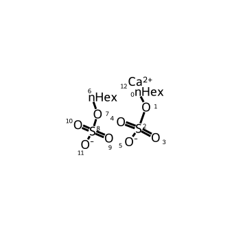 CCCCCCOS(=O)(=O)[O-].CCCCCCOS(=O)(=O)[O-].[Ca+2]